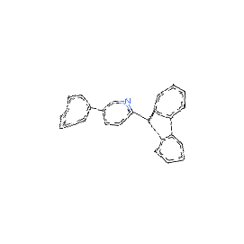 c1ccc(-c2ccc(C3c4ccccc4-c4ccccc43)nc2)cc1